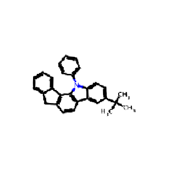 CC(C)(C)c1ccc2c(c1)c1ccc3c(c1n2-c1ccccc1)-c1ccccc1C3